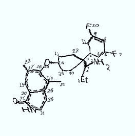 CCC(N)[C@]1(C2C=C(F)C=C(F)C2)CC[C@H](Oc2c(C)cc3c(=O)[nH]ccc3c2C)CC1